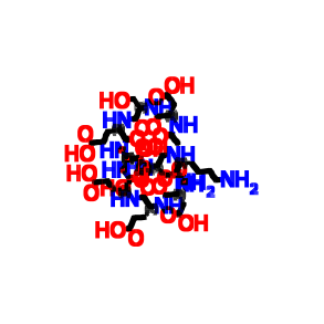 CC(=O)N[C@H](CC(=O)O)C(=O)N[C@H](CO)C(=O)N[C@H](CCC(=O)O)C(=O)N[C@H](CC(=O)O)C(=O)N[C@H](CC(N)=O)C(=O)N[C@H](CCCCN)C(=O)N[C@H](CC(=O)O)C(=O)N[C@H](CCC(=O)O)C(=O)N[C@H](CCC(=O)O)C(=O)N[C@H](C)C(=O)O